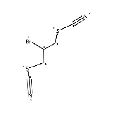 N#CSCC(Br)CSC#N